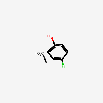 CC(=O)O.Oc1ccc(Cl)cc1